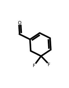 O=[C]C1=CC=CC(F)(F)C1